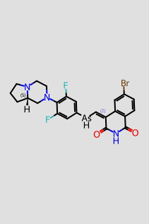 O=C1NC(=O)c2ccc(Br)cc2/C1=C/[AsH]c1cc(F)c(N2CCN3CCC[C@H]3C2)c(F)c1